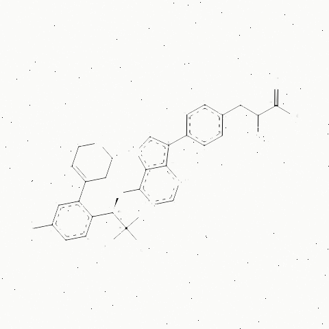 Cl.NC(Cc1ccc(-c2csc3c(O[C@H](c4ccc(Cl)cc4C4=CCOCC4)C(F)(F)F)ncnc23)cc1)C(=O)O